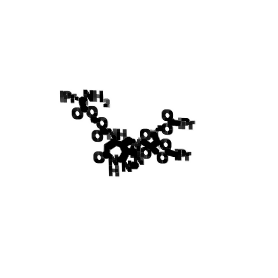 CC(C)C(=O)OC[C@H]1O[C@@H](n2cc3c4c(ncnc42)NC(=O)C=C3NC(=O)OCOC(=O)[C@@H](N)C(C)C)C(C)(O)[C@@H]1OC(=O)C(C)C